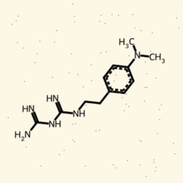 CN(C)c1ccc(CCNC(=N)NC(=N)N)cc1